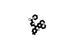 CC1(C)C=CC2=C(c3ccc(C(=O)N4CCCCC4)s3)c3cc4c5c(c3SC2=C1)CCCN5CCC4